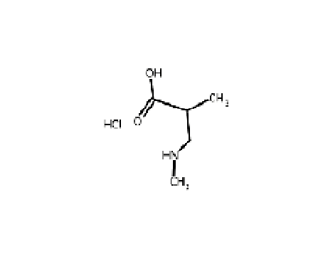 CNCC(C)C(=O)O.Cl